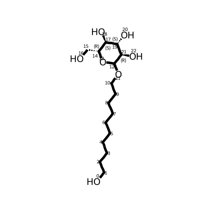 OCCCCCCCCCCOC1O[C@H](CO)[C@@H](O)[C@H](O)[C@H]1O